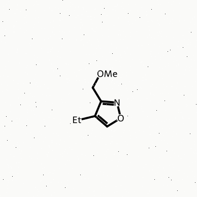 CCc1conc1COC